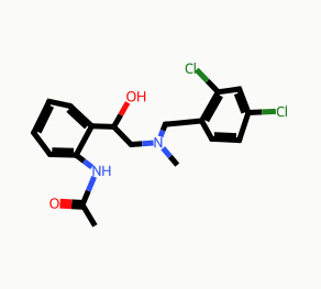 CC(=O)Nc1ccccc1C(O)CN(C)Cc1ccc(Cl)cc1Cl